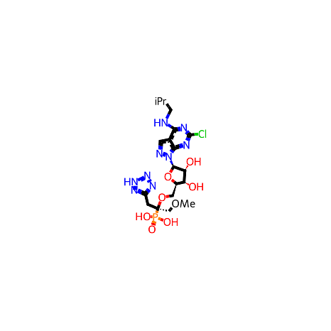 COC[C@](Cc1nn[nH]n1)(OC[C@H]1O[C@@H](n2ncc3c(NCC(C)C)nc(Cl)nc32)[C@H](O)[C@@H]1O)P(=O)(O)O